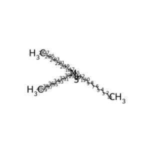 CCCCCCCCCCCCCC(=S)CN(CCCCCCCCCCCC)CCCCCCCCCCCC